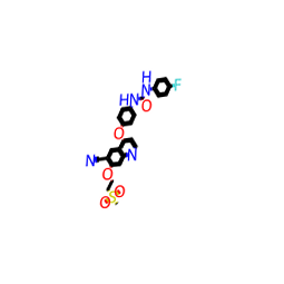 CS(=O)(=O)CCOc1cc2nccc(Oc3ccc(NC(=O)Nc4ccc(F)cc4)cc3)c2cc1C#N